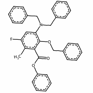 Cc1c(F)cc(N(Cc2ccccc2)Cc2ccccc2)c(OCc2ccccc2)c1C(=O)Oc1ccccc1